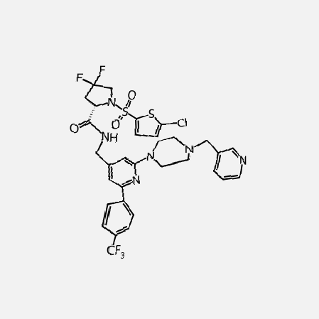 O=C(NCc1cc(-c2ccc(C(F)(F)F)cc2)nc(N2CCN(Cc3cccnc3)CC2)c1)[C@@H]1CC(F)(F)CN1S(=O)(=O)c1ccc(Cl)s1